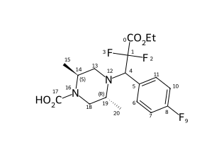 CCOC(=O)C(F)(F)C(c1ccc(F)cc1)N1C[C@H](C)N(C(=O)O)C[C@H]1C